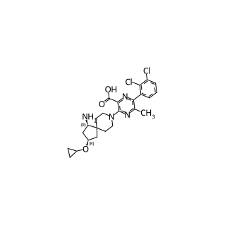 Cc1nc(N2CCC3(CC2)C[C@@H](OC2CC2)C[C@H]3N)c(C(=O)O)nc1-c1cccc(Cl)c1Cl